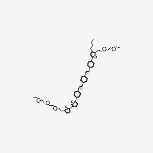 CCCCc1cc(-c2ccc(/C=C/c3ccc(/C=C/c4ccc(-c5ccc(-c6ccc(CCOCCOCCOCC)s6)s5)cc4)cc3)cc2)sc1CCOCCOCC